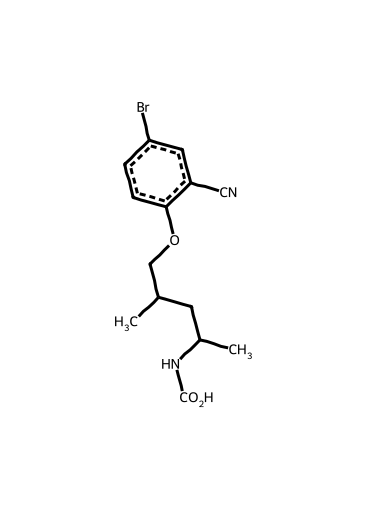 CC(COc1ccc(Br)cc1C#N)CC(C)NC(=O)O